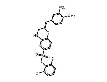 COc1ccc(C=C2CNc3cc(S(=O)(=O)Cc4c(Cl)cccc4Cl)ccc3S2)cc1[N+](=O)[O-]